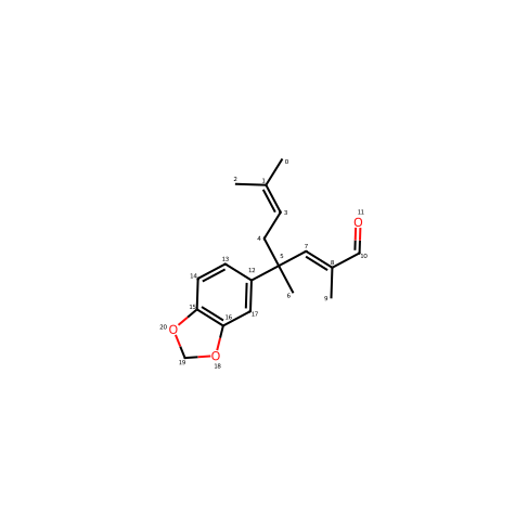 CC(C)=CCC(C)(/C=C(\C)C=O)c1ccc2c(c1)OCO2